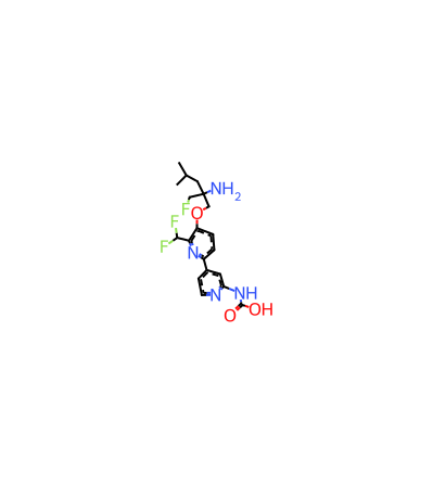 CC(C)CC(N)(CF)COc1ccc(-c2ccnc(NC(=O)O)c2)nc1C(F)F